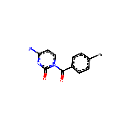 CC(C)(C)c1ccc(C(=O)n2c[c]c(N)nc2=O)cc1